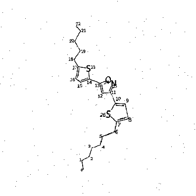 CCCCCCCc1ccc(-c2cc(-c3ccc(CCCCC)s3)on2)s1